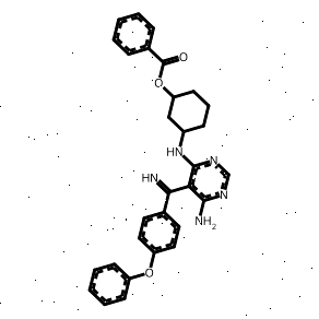 N=C(c1ccc(Oc2ccccc2)cc1)c1c(N)ncnc1NC1CCCC(OC(=O)c2ccccc2)C1